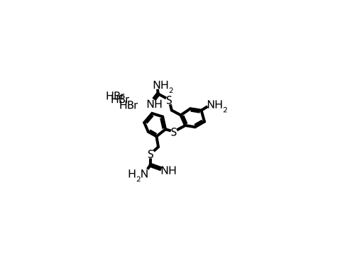 Br.Br.Br.N=C(N)SCc1ccccc1Sc1ccc(N)cc1CSC(=N)N